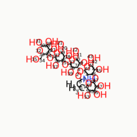 CC(=O)N[C@H]1[C@H](O[C@H]2[C@@H](O)[C@@H](CO)O[C@H](O[C@H]3[C@@H](O)[C@@H](CO)O[C@@H](O[C@H]4[C@H](O)[C@@H](O)[C@H](O)O[C@@H]4CO)[C@@H]3O)[C@@H]2O)O[C@H](CO)[C@@H](O)[C@@H]1O[C@@H]1O[C@@H](C)[C@@H](O)[C@@H](O)[C@@H]1O